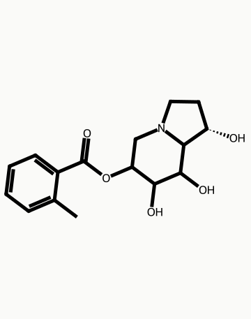 Cc1ccccc1C(=O)OC1CN2CC[C@H](O)C2C(O)C1O